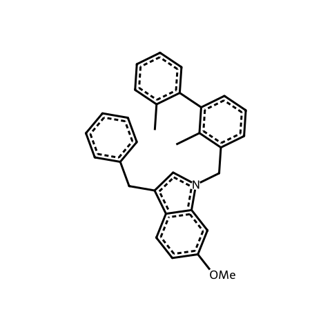 COc1ccc2c(Cc3ccccc3)cn(Cc3cccc(-c4ccccc4C)c3C)c2c1